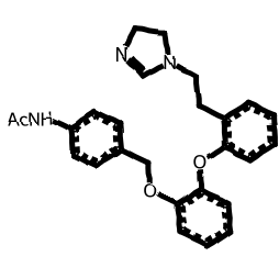 CC(=O)Nc1ccc(COc2ccccc2Oc2ccccc2CCN2C=NCC2)cc1